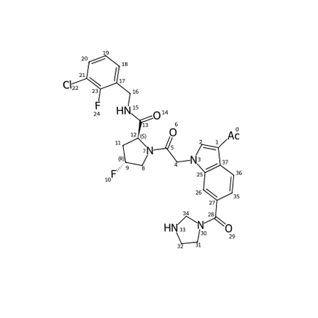 CC(=O)c1cn(CC(=O)N2C[C@H](F)C[C@H]2C(=O)NCc2cccc(Cl)c2F)c2cc(C(=O)N3CCNC3)ccc12